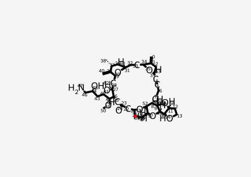 C=C1C[C@@H]2CCCO[C@@H]3[C@@H]4O[C@@H]5CCO[C@@H]5[C@@H]4O[C@H]4CC[C@H](CC(=O)C[C@H]5[C@H](CC6O[C@@H](CCC1O2)C[C@@H](C)C6=C)OC(C[C@H](O)CN)[C@@H]5OC)O[C@H]34